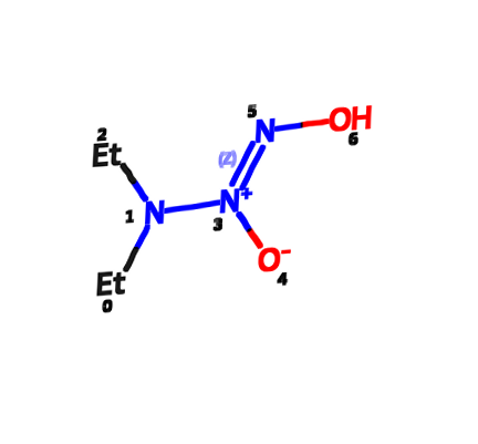 CCN(CC)/[N+]([O-])=N/O